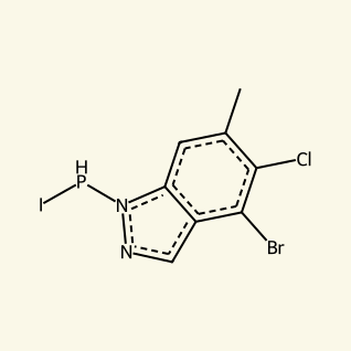 Cc1cc2c(cnn2PI)c(Br)c1Cl